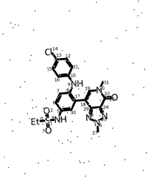 CCS(=O)(=O)Nc1ccc(Nc2ccc(Cl)cc2)c(-c2cn(C)c(=O)c3nn(C)nc23)c1